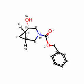 O=C(OCc1ccccc1)N1C[C@@H]2C[C@@H]2[C@H](O)C1